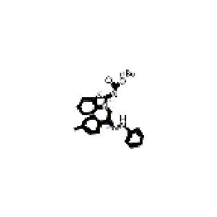 CCCCOC(=O)/N=c1\sc2c(n1C/C(=N\Nc1ccccc1)c1ccc(C)cc1)CCCC2